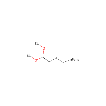 CCCCCC[CH]CC(OCC)OCC